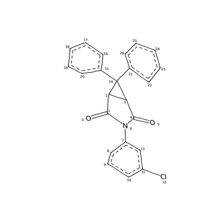 O=C1C2C(C(=O)N1c1cccc(Cl)c1)C2(c1ccccc1)c1ccccc1